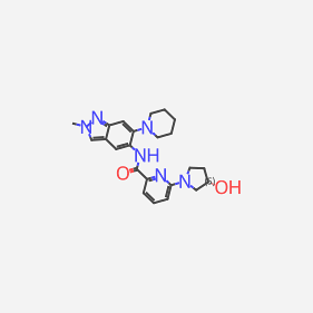 Cn1cc2cc(NC(=O)c3cccc(N4CC[C@H](O)C4)n3)c(N3CCCCC3)cc2n1